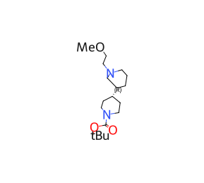 COCCN1CCC[C@H](C2CCN(C(=O)OC(C)(C)C)CC2)C1